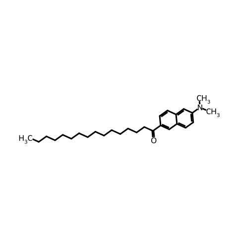 CCCCCCCCCCCCCCCC(=O)c1ccc2cc(N(C)C)ccc2c1